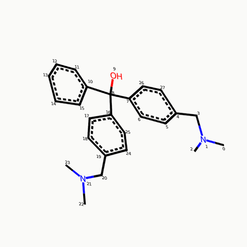 CN(C)Cc1ccc(C(O)(c2ccccc2)c2ccc(CN(C)C)cc2)cc1